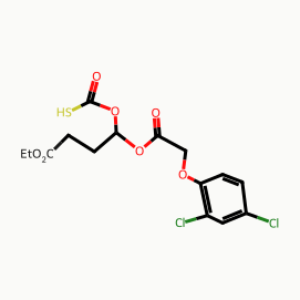 CCOC(=O)CCC(OC(=O)S)OC(=O)COc1ccc(Cl)cc1Cl